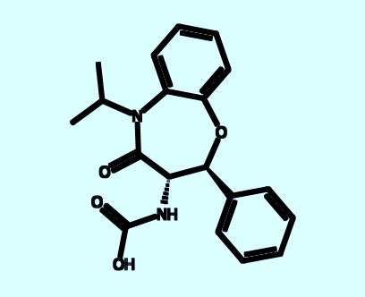 CC(C)N1C(=O)[C@@H](NC(=O)O)[C@H](c2ccccc2)Oc2ccccc21